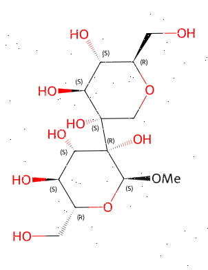 CO[C@H]1O[C@H](CO)[C@@H](O)[C@H](O)[C@@]1(O)[C@]1(O)CO[C@H](CO)[C@@H](O)[C@@H]1O